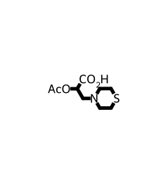 CC(=O)OC(CN1CCSCC1)C(=O)O